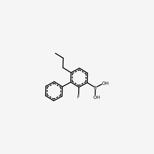 CCCc1ccc(B(O)O)c(F)c1-c1ccccc1